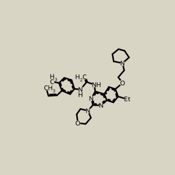 C=C(Nc1ccc(C)c(/C=C\C)c1)Nc1nc(N2CCOCC2)nc2cc(CC)c(OCCN3CCCCC3)cc12